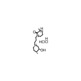 CC1NCCN(CCCN2CC[C@H](C)[C@H](O)C2)C1=O.Cl.Cl